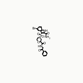 NC(=O)c1[nH]c2ccc(Br)cc2c1S(=O)(=O)N1CCOC(C(=O)NCC(=O)c2ccccc2)C1